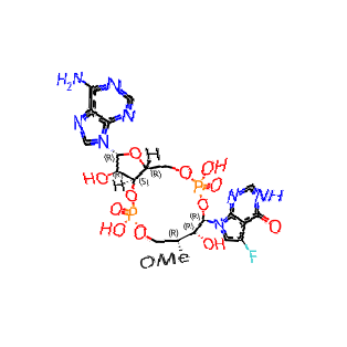 CO[C@@H]1COP(=O)(O)O[C@H]2[C@@H](O)[C@H](n3cnc4c(N)ncnc43)O[C@@H]2COP(=O)(O)O[C@@H](n2cc(F)c3c(=O)[nH]cnc32)[C@@H]1O